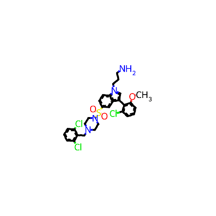 COc1cccc(Cl)c1-c1cn(CCCN)c2ccc(S(=O)(=O)N3CCN(Cc4c(Cl)cccc4Cl)CC3)cc12